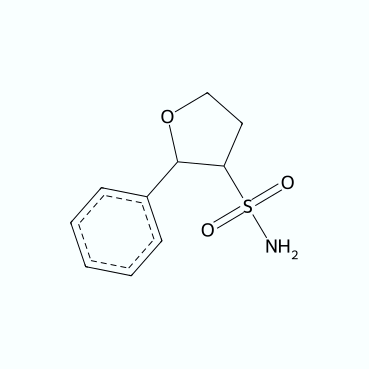 NS(=O)(=O)C1CCOC1c1ccccc1